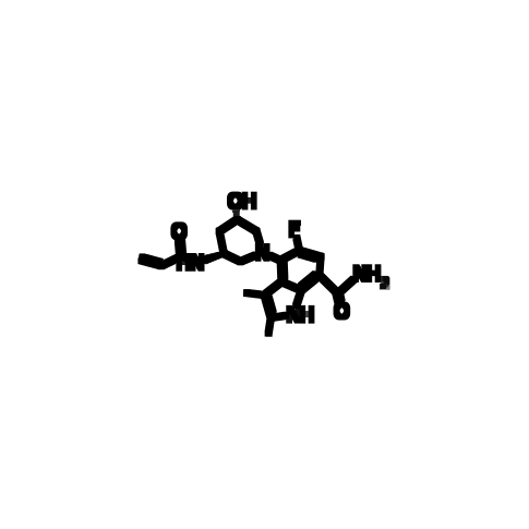 C=CC(=O)N[C@H]1C[C@H](O)CN(c2c(F)cc(C(N)=O)c3[nH]c(C)c(C)c23)C1